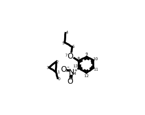 CC1CC1.CCCOc1ccccc1[N+](=O)[O-]